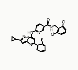 O=C(NCc1c(Cl)cccc1Cl)c1ccc(Nc2cc(-c3ccccc3F)nc3cc(C4CC4)nn23)nc1